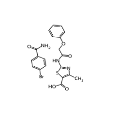 Cc1nc(NC(=O)COc2ccccc2)sc1C(=O)O.NC(=O)c1ccc(Br)cc1